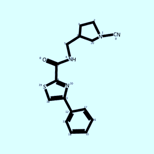 N#CN1CCC(CNC(=O)c2nc(-c3ccccc3)cs2)C1